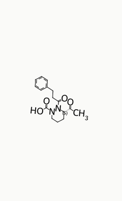 CC(=O)[C@@H]1CCCN(C(=O)O)N1C(=O)CCc1ccccc1